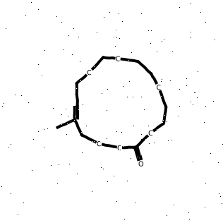 C/C1=C\CCCCCCCCCCC(=O)CCC1